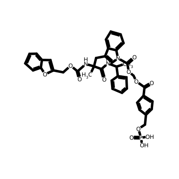 CC(NC(=O)C(C)(Cc1cn(C(=O)OCOC(=O)c2ccc(COP(=O)(O)O)cc2)c2ccccc12)NC(=O)OCc1cc2ccccc2o1)c1ccccc1